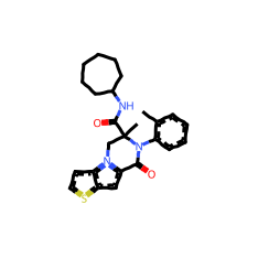 Cc1ccccc1N1C(=O)c2cc3sccc3n2CC1(C)C(=O)NC1CCCCCC1